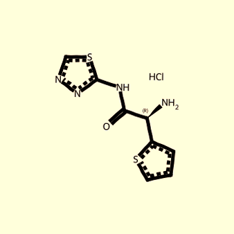 Cl.N[C@H](C(=O)Nc1nncs1)c1cccs1